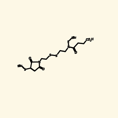 CC(C)(C)SC1CC(=O)N(CCSSCCN(SC(C)(C)C)C(=O)CCC(=O)O)C1=O